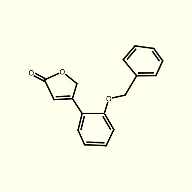 O=C1C=C(c2ccccc2OCc2ccccc2)CO1